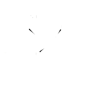 NC[C@@]1(CC(=O)O)C[C@@H]2CC(C3C=CC3)=C[C@@H]21